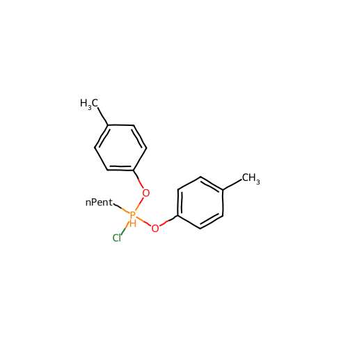 CCCCC[PH](Cl)(Oc1ccc(C)cc1)Oc1ccc(C)cc1